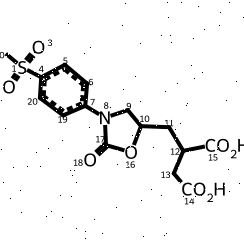 CS(=O)(=O)c1ccc(N2CC(CC(CC(=O)O)C(=O)O)OC2=O)cc1